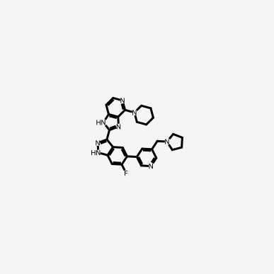 Fc1cc2[nH]nc(-c3nc4c(N5CCCCC5)nccc4[nH]3)c2cc1-c1cncc(CN2CCCC2)c1